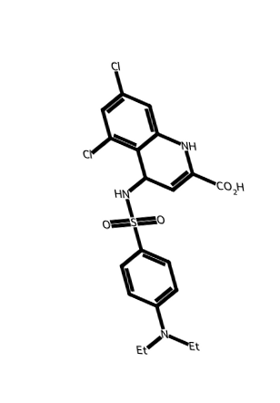 CCN(CC)c1ccc(S(=O)(=O)NC2C=C(C(=O)O)Nc3cc(Cl)cc(Cl)c32)cc1